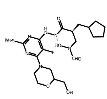 CSc1nc(NNC(=O)[C@@H](CC2CCCC2)CN(O)C=O)c(F)c(N2CCOC(CO)C2)n1